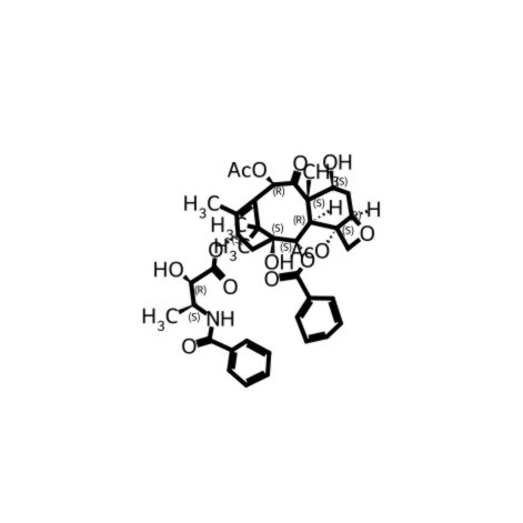 CC(=O)O[C@H]1C(=O)[C@@]2(C)[C@H]([C@H](OC(=O)c3ccccc3)[C@]3(O)C[C@H](OC(=O)[C@H](O)[C@H](C)NC(=O)c4ccccc4)C(C)=C1C3(C)C)[C@]1(OC(C)=O)CO[C@@H]1C[C@@H]2O